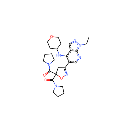 CCn1ncc2c(NC3CCOCC3)c(C3=NOC(C(=O)N4CCCC4)(C(=O)N4CCCC4)C3)cnc21